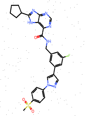 CS(=O)(=O)c1ccc(-n2cc(-c3cc(F)cc(CNC(=O)c4ncnc5nc(C6CCCC6)[nH]c45)c3)cn2)cc1